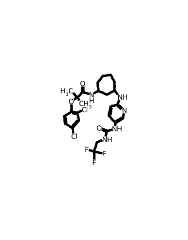 CC(C)(Oc1ccc(Cl)cc1Cl)C(=O)NC1CCCCC(Nc2ccc(NC(=O)NCC(F)(F)F)cn2)C1